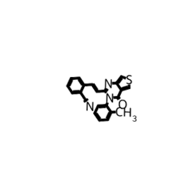 Cc1ccccc1-n1c(C=Cc2ccccc2C#N)nc2cscc2c1=O